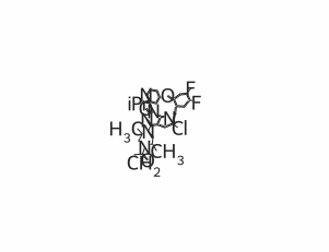 C=CC(=O)N1CC(C)N(c2nc(=O)n3c4nc(c(Cl)cc24)c2cc(F)c(F)cc2oc2ccnc(C(C)C)c23)CC1C